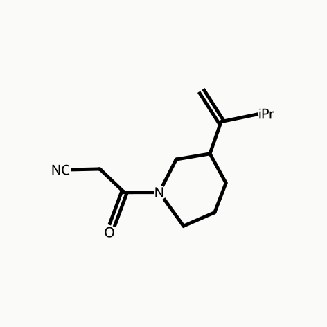 C=C(C(C)C)C1CCCN(C(=O)CC#N)C1